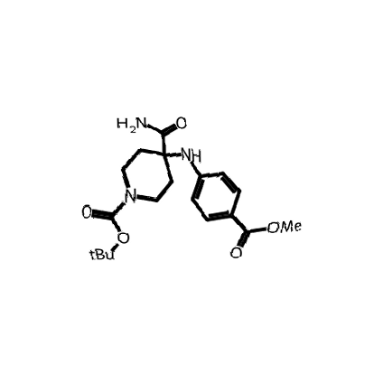 COC(=O)c1ccc(NC2(C(N)=O)CCN(C(=O)OC(C)(C)C)CC2)cc1